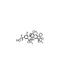 Cc1nnc(N[C@H](C)c2cc(F)cc(C(F)(F)CO)c2)c2cc3c(cc12)C1(CCCC1)C(=O)N3C